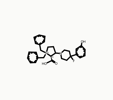 O=C(O)[C@@H]1C(N2CCC(F)(c3cccc(O)c3)CC2)CC[N+]1(Cc1ccccc1)Cc1ccccc1